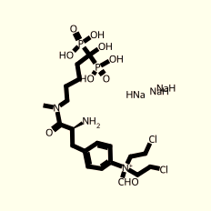 CN(CCCCC(O)(P(=O)(O)O)P(=O)(O)O)C(=O)[C@@H](N)Cc1ccc([N+](C=O)(CCCl)CCCl)cc1.[NaH].[NaH].[NaH]